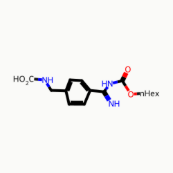 CCCCCCOC(=O)NC(=N)c1ccc(CNC(=O)O)cc1